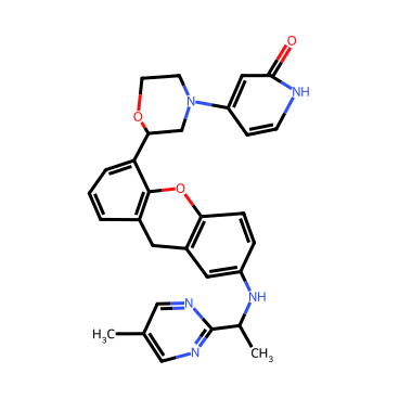 Cc1cnc(C(C)Nc2ccc3c(c2)Cc2cccc(C4CN(c5cc[nH]c(=O)c5)CCO4)c2O3)nc1